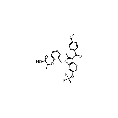 COc1ccc(C(=O)c2c(C)n(Cc3ccccc3O[C@@H](C)C(=O)O)c3cc(OC(F)(F)F)ccc23)cc1